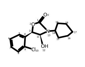 O=C1O[C@H](c2ccccc2Cl)[C@H](O)N1C1CCCCC1